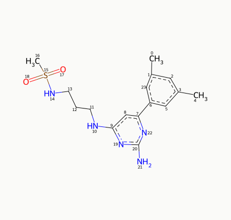 Cc1cc(C)cc(-c2cc(NCCCNS(C)(=O)=O)nc(N)n2)c1